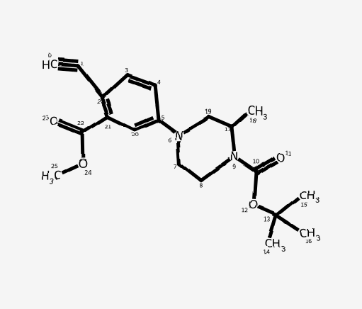 C#Cc1ccc(N2CCN(C(=O)OC(C)(C)C)C(C)C2)cc1C(=O)OC